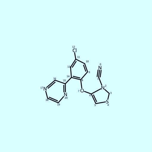 N#CN1CSC=C1Oc1ccc(Cl)cc1-c1cnccn1